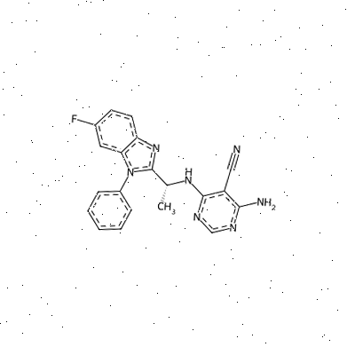 C[C@@H](Nc1ncnc(N)c1C#N)c1nc2ccc(F)cc2n1-c1ccccc1